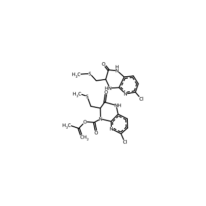 C=C(C)OC(=O)N1c2nc(Cl)ccc2NC(=O)C1CSC.CSCC1Nc2nc(Cl)ccc2NC1=O